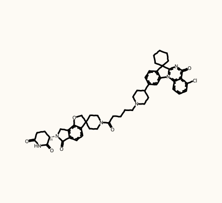 O=C1CC[C@H](N2Cc3c(ccc4c3OCC43CCN(C(=O)CCCCN4CCC(c5ccc6c(c5)-n5c(nc(=O)c7c(Cl)cccc75)C65CCCCC5)CC4)CC3)C2=O)C(=O)N1